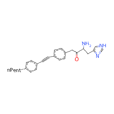 CCCCCc1ccc(C#Cc2ccc(CC(=O)C(N)Cc3c[nH]cn3)cc2)cc1